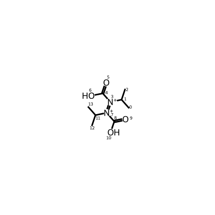 CC(C)[N+](C(=O)O)=[N+](C(=O)O)C(C)C